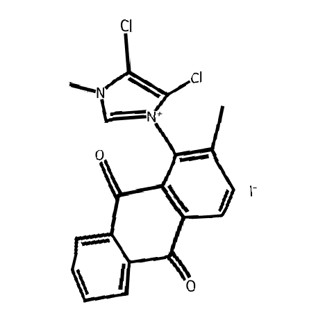 Cc1ccc2c(c1-[n+]1cn(C)c(Cl)c1Cl)C(=O)c1ccccc1C2=O.[I-]